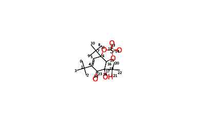 CC(C)(C)C1=CC2(C(C)(C)C)OS(=O)(=O)OC2C(O)(C(C)(C)C)C1=O